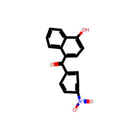 O=C(c1ccc([N+](=O)[O-])cc1)c1ccc(O)c2ccccc12